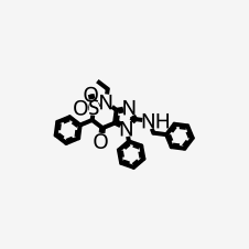 CCN1c2nc(NCc3ccccc3)n(-c3ccccc3)c2C(=O)C(c2ccccc2)S1(=O)=O